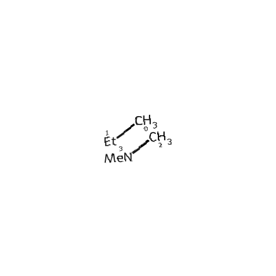 CCC.CNC